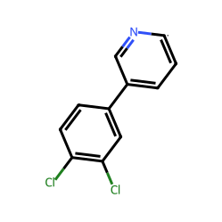 Clc1ccc(-c2cc[c]nc2)cc1Cl